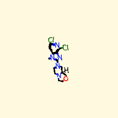 Cn1c(N2CCN3CCOC[C@@H]3C2)nc2c(Cl)nc(Cl)cc21